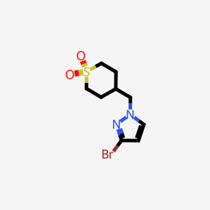 O=S1(=O)CCC(Cn2ccc(Br)n2)CC1